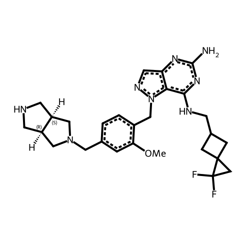 COc1cc(CN2C[C@H]3CNC[C@H]3C2)ccc1Cn1ncc2nc(N)nc(NCC3CC4(C3)CC4(F)F)c21